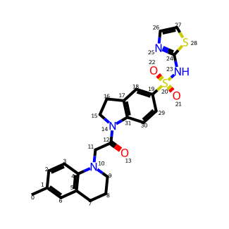 Cc1ccc2c(c1)CCCN2CC(=O)N1CCc2cc(S(=O)(=O)Nc3nccs3)ccc21